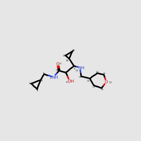 O=C(NCC1CC1)C(O)C(NCC1CCOCC1)C1CC1